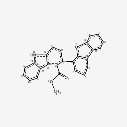 COC(=O)c1c(-c2cccc3c2oc2ccccc23)ccc2[nH]c3ccccc3c12